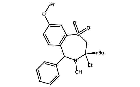 CCCC[C@]1(CC)CS(=O)(=O)c2cc(OC(C)C)ccc2C(c2ccccc2)N1O